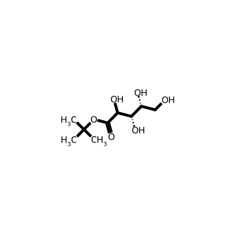 CC(C)(C)OC(=O)C(O)[C@@H](O)[C@H](O)CO